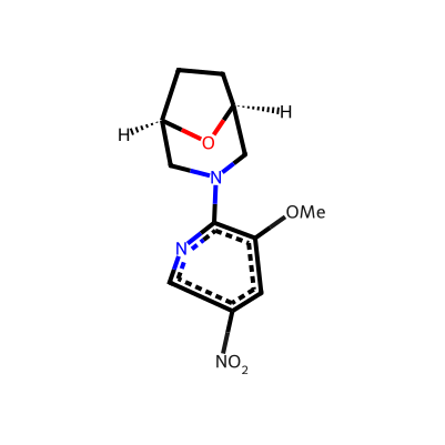 COc1cc([N+](=O)[O-])cnc1N1C[C@H]2CC[C@@H](C1)O2